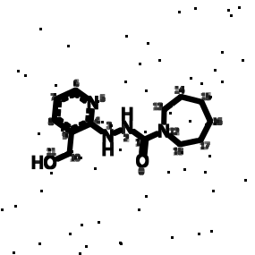 O=C(NNc1ncccc1CO)N1CCCCCC1